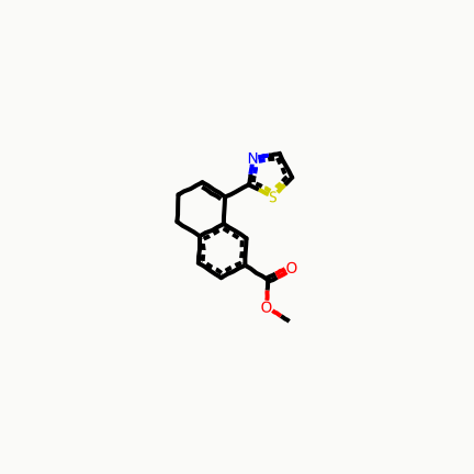 COC(=O)c1ccc2c(c1)C(c1nccs1)=CCC2